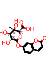 C[C@@]1(O)[C@@H](C(=O)O)OC(Oc2ccc3ccc(=O)oc3c2)[C@H](O)[C@H]1O